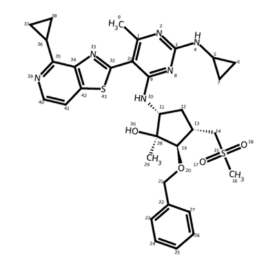 Cc1nc(NC2CC2)nc(N[C@@H]2C[C@H](CS(C)(=O)=O)[C@@H](OCc3ccccc3)[C@@]2(C)O)c1-c1nc2c(C3CC3)nccc2s1